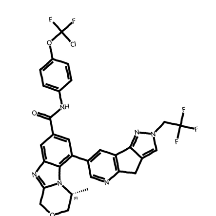 C[C@@H]1COCc2nc3cc(C(=O)Nc4ccc(OC(F)(F)Cl)cc4)cc(-c4cnc5c(c4)-c4nn(CC(F)(F)F)cc4C5)c3n21